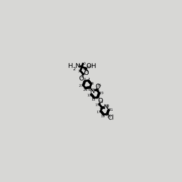 CC(N)(CCOc1ccc(-n2ccc(OCc3ccc(Cl)cn3)cc2=O)cc1)C(=O)O